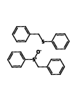 [O-][S+](Cc1ccccc1)c1ccccc1.c1ccc(CSc2ccccc2)cc1